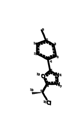 Cc1ccc(-c2nnc([C@@H](C)Cl)o2)cc1